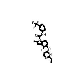 CCc1nccc(Oc2ccc3c(cc(C)n3C(=O)Nc3cccc(C(F)(F)F)c3)c2F)n1